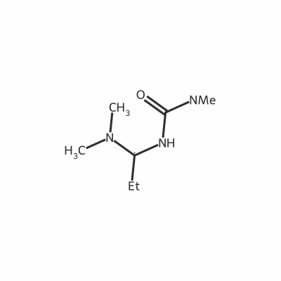 CC[C](NC(=O)NC)N(C)C